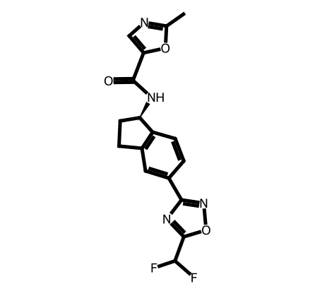 Cc1ncc(C(=O)N[C@@H]2CCc3cc(-c4noc(C(F)F)n4)ccc32)o1